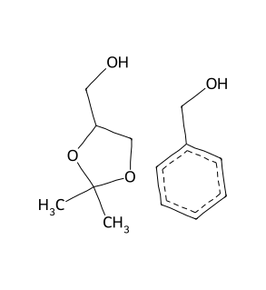 CC1(C)OCC(CO)O1.OCc1ccccc1